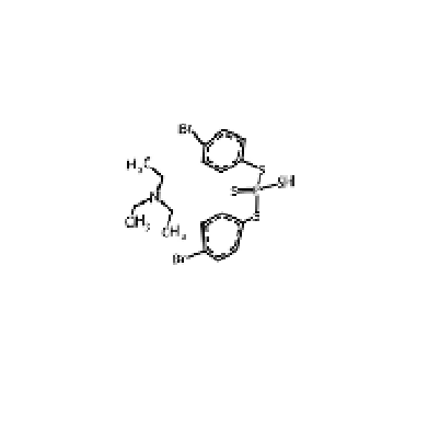 CCN(CC)CC.S=P(S)(Sc1ccc(Br)cc1)Sc1ccc(Br)cc1